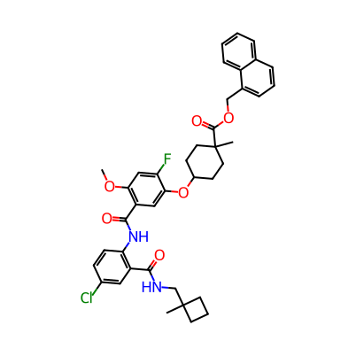 COc1cc(F)c(OC2CCC(C)(C(=O)OCc3cccc4ccccc34)CC2)cc1C(=O)Nc1ccc(Cl)cc1C(=O)NCC1(C)CCC1